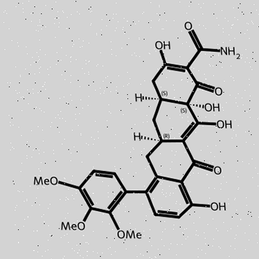 COc1ccc(-c2ccc(O)c3c2C[C@H]2C[C@H]4CC(O)=C(C(N)=O)C(=O)[C@@]4(O)C(O)=C2C3=O)c(OC)c1OC